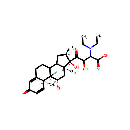 CCN(CC)C(C(=O)O)C(O)C(=O)[C@@]1(O)[C@H](C)CC2C3CCC4=CC(=O)C=C[C@]4(C)[C@@]3(F)[C@@H](O)C[C@@]21C